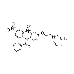 CCN(CC)CCOc1ccc(N(C(=O)c2ccccc2)c2ccc([N+](=O)[O-])cc2[N+](=O)[O-])cc1